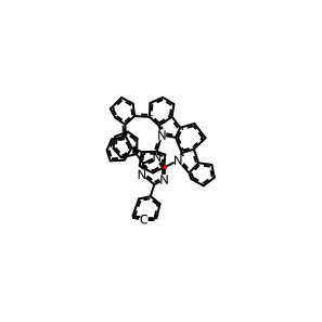 c1ccc(-c2nc(-c3ccccc3)nc(-n3c4ccccc4c4ccc5c6cccc7c8ccccc8c8ccccc8c8ccccc8n(c76)c5c43)n2)cc1